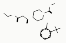 CCOC(=O)CC(=O)[C@@H]1CCN(C(=O)OC)[C@H](Cc2ccccc2C(F)(F)F)C1